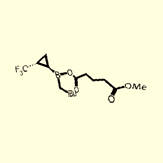 CCC(C)CB(OC(=O)CCCC(=O)OC)[C@@H]1C[C@H]1C(F)(F)F